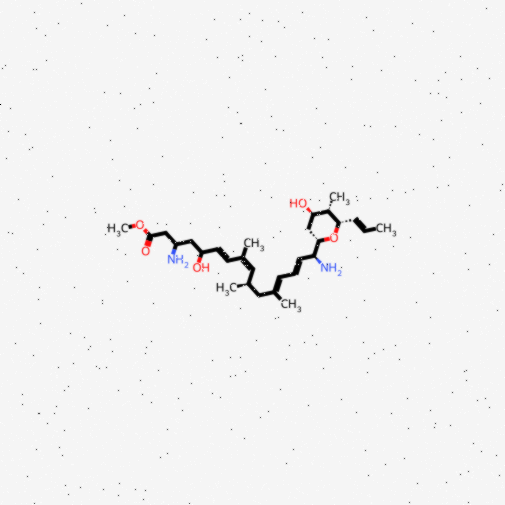 C/C=C/[C@@H]1O[C@H]([C@@H](N)/C=C/C=C(\C)C[C@@H](C)/C=C(C)\C=C\C(O)CC(N)CC(=O)OC)C[C@@H](O)[C@@H]1C